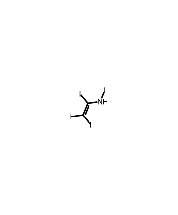 INC(I)=C(I)I